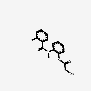 Cc1ccccc1C(=O)N(C)c1ccccc1OC(=O)CO